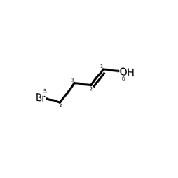 OC=CCCBr